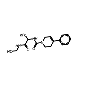 CCCC(NC(=O)N1CC=C(c2ccccc2)CC1)C(=O)NCC#N